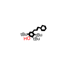 CC(C)(C)c1cc(CC=CC2C=CC=CC2)c(C(C)(C)C)c(C(C)(C)C)c1O